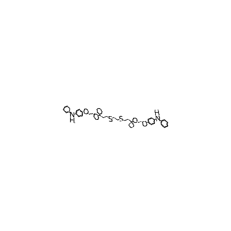 O=C(CCSCCSCCC(=O)OCCOc1ccc(Nc2ccccc2)cc1)OCCOc1ccc(Nc2ccccc2)cc1